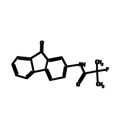 CC(C)(F)C(=O)Nc1ccc2c(c1)C(=O)c1ccccc1-2